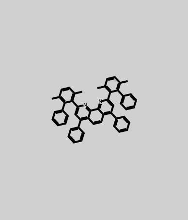 Cc1ccc(C)c(-c2cc(-c3ccccc3)c3ccc4c(-c5ccccc5)cc(-c5c(C)ccc(C)c5-c5ccccc5)nc4c3n2)c1-c1ccccc1